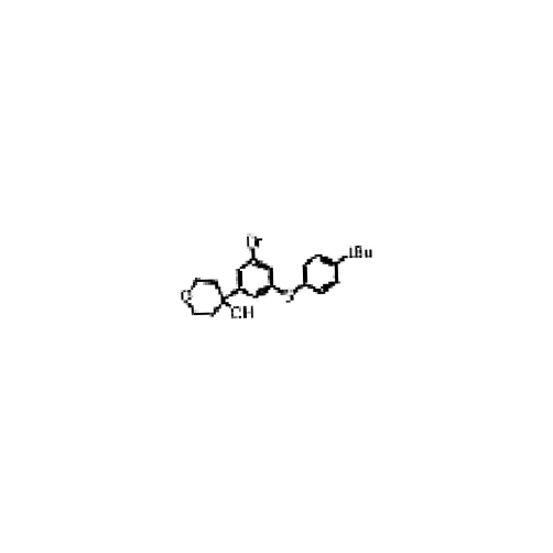 CC(C)(C)c1ccc(Sc2cc(Br)cc(C3(O)CCOCC3)c2)cc1